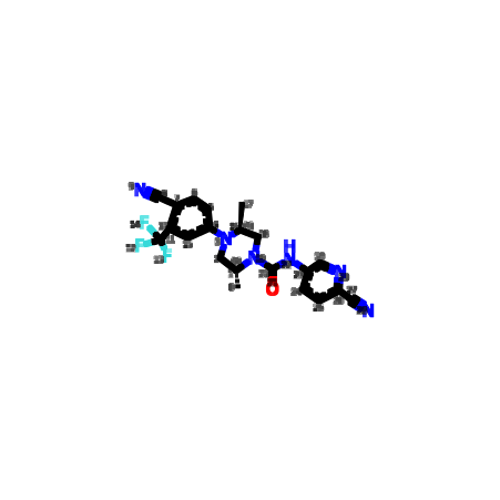 C[C@@H]1CN(c2ccc(C#N)c(C(F)(F)F)c2)[C@@H](C)CN1C(=O)Nc1ccc(C#N)nc1